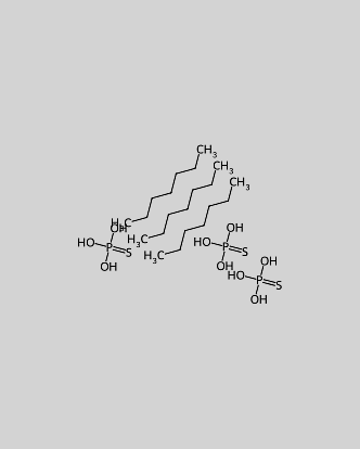 CCCCCCC.CCCCCCC.CCCCCCC.OP(O)(O)=S.OP(O)(O)=S.OP(O)(O)=S